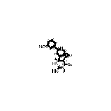 CN1C(=N)N[C@](C)(c2ccnc(-c3cccc(C#N)c3)c2)C(C2CC2)C1=O